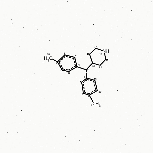 Cc1ccc(C(c2ccc(C)cc2)C2CCNCC2)cc1